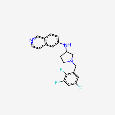 Fc1cc(F)c(F)c(CN2CCC(Nc3ccc4cnccc4c3)C2)c1